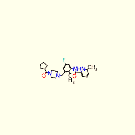 Cc1cccc(C(=O)Nc2cc(F)cc(CN3CCN(C(=O)C4CCCC4)CC3)c2C)n1